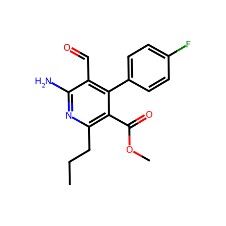 CCCc1nc(N)c(C=O)c(-c2ccc(F)cc2)c1C(=O)OC